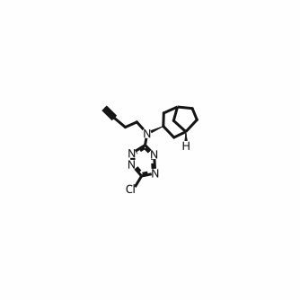 C#CCCN(c1nnc(Cl)nn1)[C@H]1CC2CC[C@@H](C2)C1